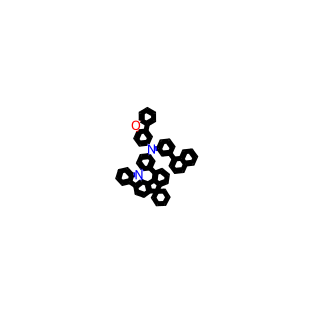 c1cc(-c2cccc3ccccc23)cc(N(c2ccc3c(c2)-c2cccc4c2-c2c(ccc5c6ccccc6n-3c25)C42CCCCC2)c2ccc3oc4ccccc4c3c2)c1